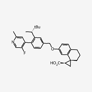 Cc1cc(-c2ccc(COc3ccc4c(c3)[C@]3(CCC4)C[C@H]3C(=O)O)cc2[C@H](C)C(C)(C)C)c(F)cn1